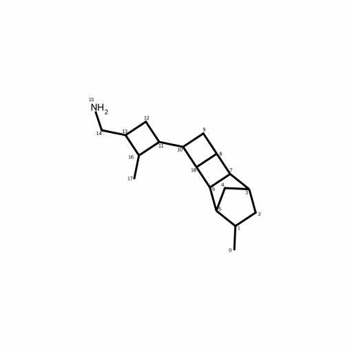 CC1CC2CC1C1C2C2CC(C3CC(CN)C3C)C21